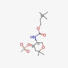 CC1(C)C[C@@H](OS(C)(=O)=O)[C@@H](NC(=O)OCC[Si](C)(C)C)CO1